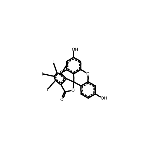 O=C1OC2(c3ccc(O)cc3Oc3cc(O)cc(Cl)c32)c2c(I)c(I)c(I)c(I)c21